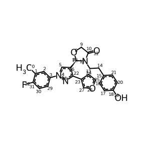 Cc1cc(-n2cc([C@H]3OCC(=O)N3CCc3ccc(O)cc3)c(-c3ccoc3)n2)ccc1F